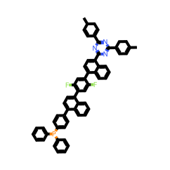 CC1=CC=C(c2nc(C3=CCC(C)C=C3)nc(-c3ccc(-c4cc(F)c(-c5ccc(-c6ccc(P(c7ccccc7)c7ccccc7)cc6)c6ccccc56)cc4F)c4ccccc34)n2)CC1